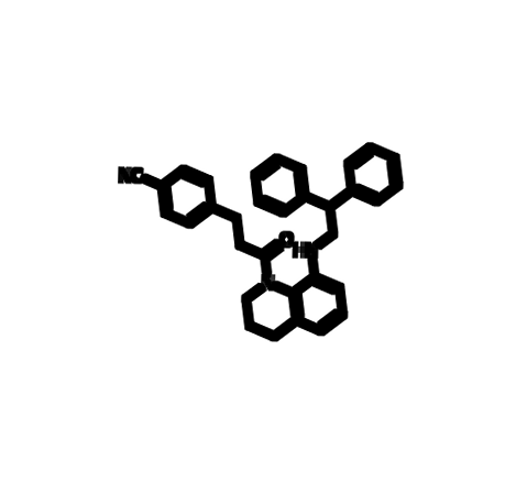 N#Cc1ccc(CCC(=O)N2CCCc3cccc(NCC(c4ccccc4)c4ccccc4)c32)cc1